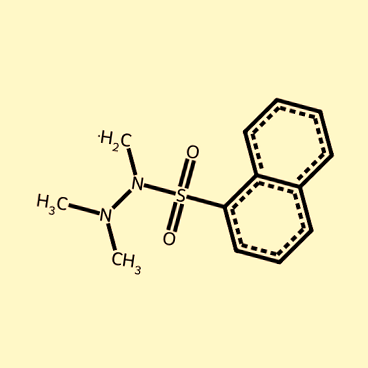 [CH2]N(N(C)C)S(=O)(=O)c1cccc2ccccc12